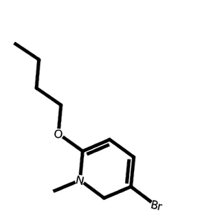 CCCCOC1=CC=C(Br)CN1C